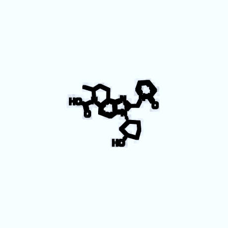 CC1CCc2c(ccc3c2nc(Cn2ccccc2=O)n3[C@@H]2CCC[C@@H](O)C2)N1C(=O)O